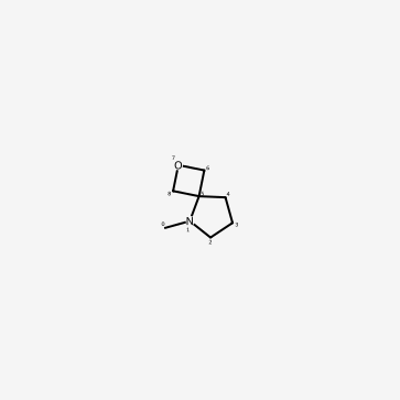 CN1CCCC12COC2